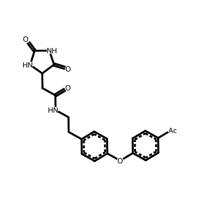 CC(=O)c1ccc(Oc2ccc(CCNC(=O)CC3NC(=O)NC3=O)cc2)cc1